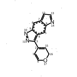 C1=CC(C2=c3cc4c(cc3N=N2)=CC=N4)=CCO1